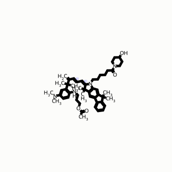 C=C(/C=C/C=C1/N(CCCCCC(=O)N2CCC(O)CC2)c2cc3c(cc2C1(C)C)-c1ccccc1C3(C)C)C(C)(C)c1cc(N(C)C)ccc1NCCCOC(C)=O